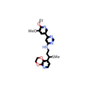 CCOc1ncc(-c2cc(NCCC(SC)c3ccnc4c3OCCO4)ncn2)cc1OC